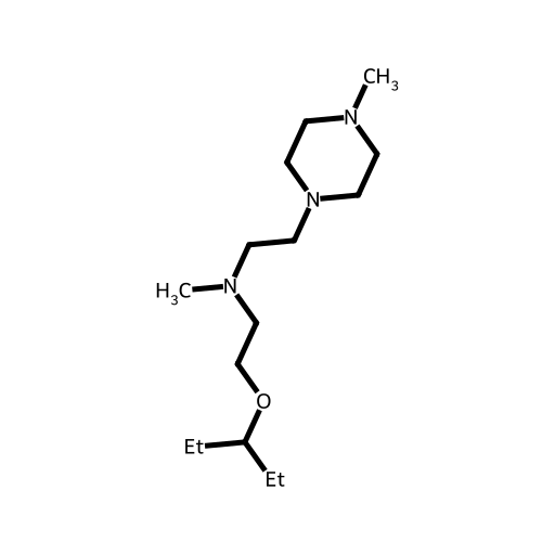 CCC(CC)OCCN(C)CCN1CCN(C)CC1